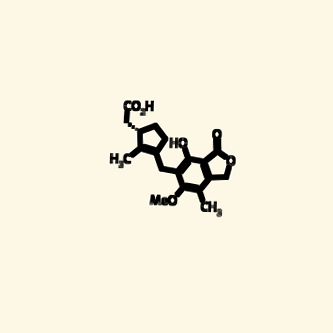 COc1c(C)c2c(c(O)c1CC1=C(C)[C@H](CC(=O)O)CC1)C(=O)OC2